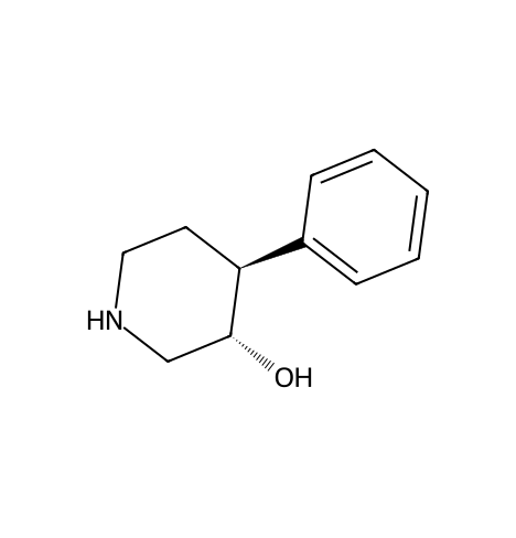 O[C@@H]1CNCC[C@H]1c1ccccc1